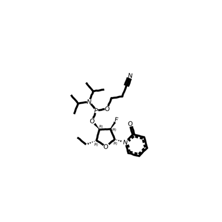 CC[C@H]1O[C@@H](n2ccccc2=O)[C@H](F)[C@@H]1OP(OCCC#N)N(C(C)C)C(C)C